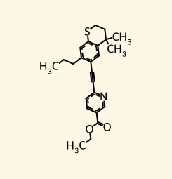 CCCc1cc2c(cc1C#Cc1ccc(C(=O)OCC)cn1)C(C)(C)CCS2